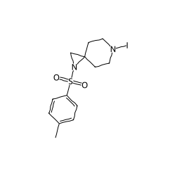 Cc1ccc(S(=O)(=O)N2CC23CCN(I)CC3)cc1